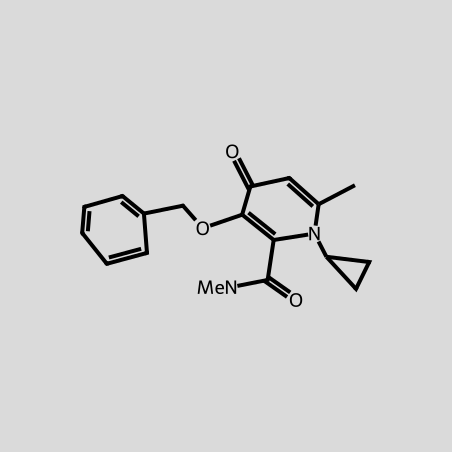 CNC(=O)c1c(OCc2ccccc2)c(=O)cc(C)n1C1CC1